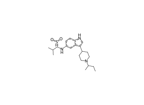 CCC(C)N1CCC(c2c[nH]c3ccc(NC(C(C)C)[SH](=O)=O)cc23)CC1